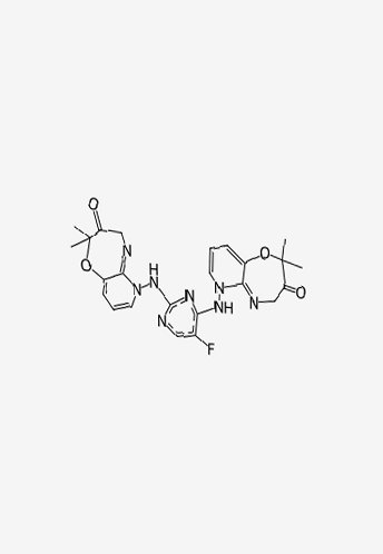 CC1(C)OC2=CC=CN(Nc3ncc(F)c(NN4C=CC=C5OC(C)(C)C(=O)CN=C54)n3)C2=NCC1=O